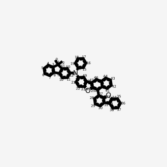 CC1(C)c2ccccc2-c2ccc(N(c3ccccc3)c3ccc4oc5c(-c6cccc7c6oc6ccccc67)c6ccccc6cc5c4c3)cc21